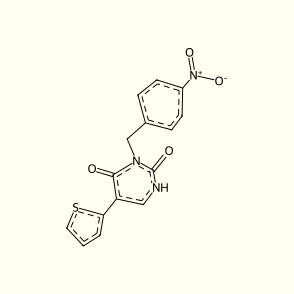 O=c1[nH]cc(-c2cccs2)c(=O)n1Cc1ccc([N+](=O)[O-])cc1